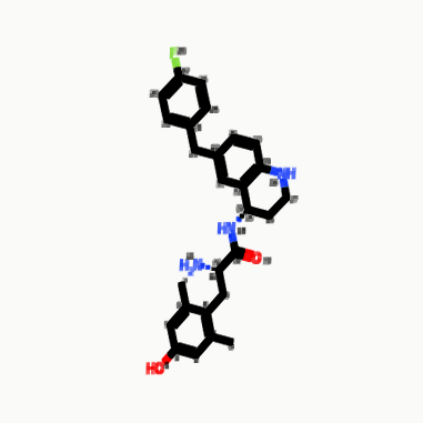 Cc1cc(O)cc(C)c1C[C@H](N)C(=O)N[C@H]1CCNc2ccc(Cc3ccc(F)cc3)cc21